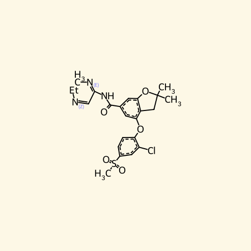 CC/N=C\C(=N/C)NC(=O)c1cc(Oc2ccc(S(C)(=O)=O)cc2Cl)c2c(c1)OC(C)(C)C2